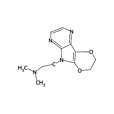 CN(C)CCn1c2c(c3nccnc31)OCCO2